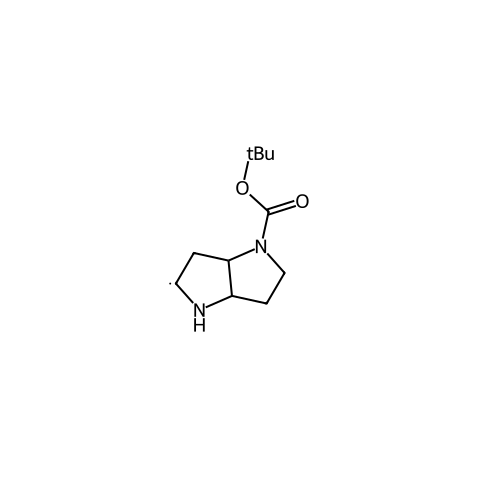 CC(C)(C)OC(=O)N1CCC2N[CH]CC21